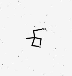 [CH2]C1(CN)CSC1